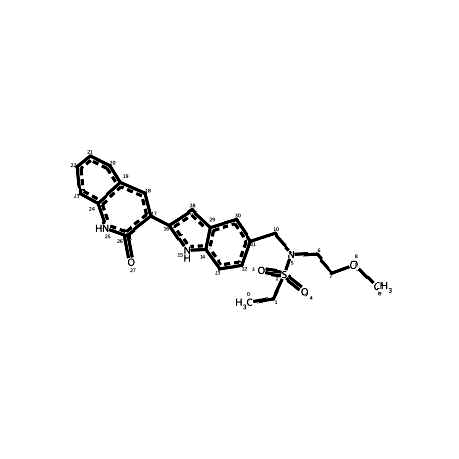 CCS(=O)(=O)N(CCOC)Cc1ccc2[nH]c(-c3cc4ccccc4[nH]c3=O)cc2c1